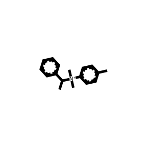 Cc1ccc([N+](C)(C)C(C)c2ccccc2)cc1